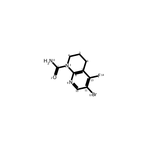 NC(=O)N1CCCc2c1ncc(Br)c2F